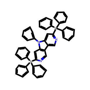 c1ccc(-n2c3cc([Si](c4ccccc4)(c4ccccc4)c4ccccc4)ncc3c3cnc([Si](c4ccccc4)(c4ccccc4)c4ccccc4)cc32)cc1